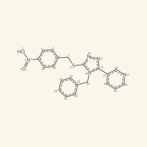 O=[N+](O)c1ccc(CSc2nnc(-c3cccnc3)n2Cc2ccccc2)cc1